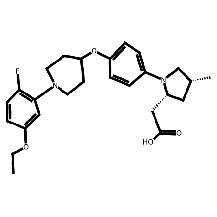 CCOc1ccc(F)c(N2CCC(Oc3ccc(N4C[C@H](C)C[C@@H]4CC(=O)O)cc3)CC2)c1